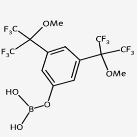 COC(c1cc(OB(O)O)cc(C(OC)(C(F)(F)F)C(F)(F)F)c1)(C(F)(F)F)C(F)(F)F